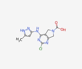 Cc1cc(Nc2nc(Cl)nc3c2CN(C(=O)O)C3)n[nH]1